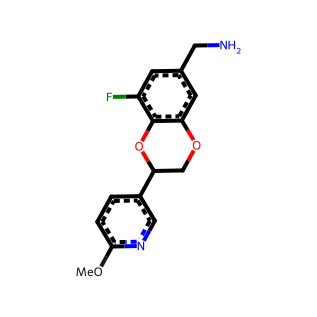 COc1ccc(C2COc3cc(CN)cc(F)c3O2)cn1